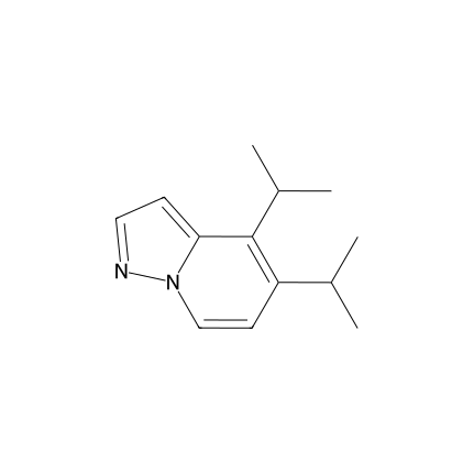 CC(C)c1ccn2nccc2c1C(C)C